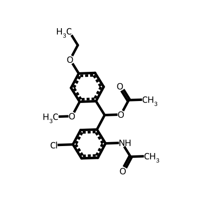 CCOc1ccc(C(OC(C)=O)c2cc(Cl)ccc2NC(C)=O)c(OC)c1